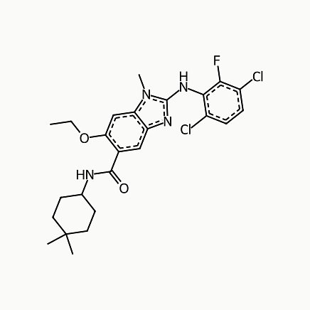 CCOc1cc2c(cc1C(=O)NC1CCC(C)(C)CC1)nc(Nc1c(Cl)ccc(Cl)c1F)n2C